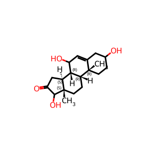 C[C@]12CCC(O)CC1=CC(O)[C@@H]1[C@H]2CC[C@]2(C)C(O)C(=O)C[C@@H]12